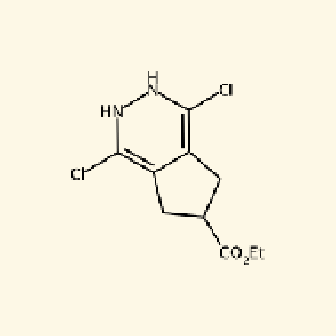 CCOC(=O)C1CC2=C(Cl)NNC(Cl)=C2C1